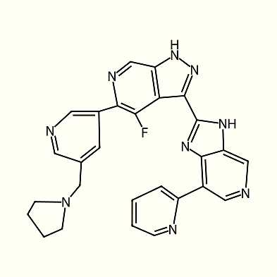 Fc1c(-c2cncc(CN3CCCC3)c2)ncc2[nH]nc(-c3nc4c(-c5ccccn5)cncc4[nH]3)c12